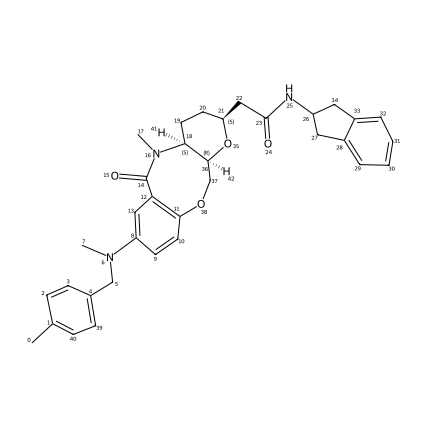 Cc1ccc(CN(C)c2ccc3c(c2)C(=O)N(C)[C@H]2CC[C@@H](CC(=O)NC4Cc5ccccc5C4)O[C@H]2CO3)cc1